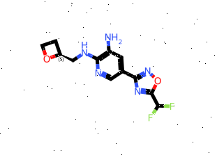 Nc1cc(-c2noc(C(F)F)n2)cnc1NC[C@@H]1CCO1